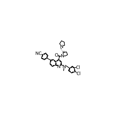 CN(Cc1ccc(Cl)c(Cl)c1)c1cc(C(=O)N2CCC[C@H]2CN2CCCC2)c2cc(-c3ccc(C#N)cc3)ccc2n1